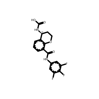 O=C(O)N[C@H]1CCOc2c(C(=O)Nc3cc(F)c(F)c(F)c3)cccc21